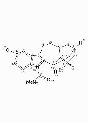 CC[C@H]1C[C@H]2C[C@H]3c4c(c5cc(O)ccc5n4C(=O)NC)CCN(C2)C13